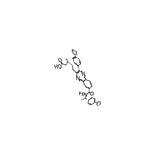 CC(CCc1nc2cc(C(=O)NC(C)c3ccc(Cl)cc3)ccc2nc1-c1ccc(Cl)cc1)CC(=O)O